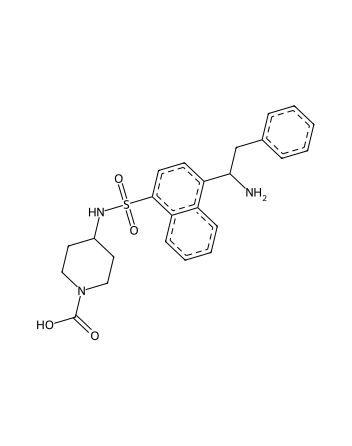 NC(Cc1ccccc1)c1ccc(S(=O)(=O)NC2CCN(C(=O)O)CC2)c2ccccc12